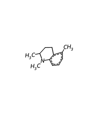 Cc1cccc2c1CCC(C)N2C